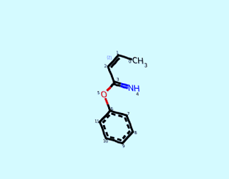 C/C=C\C(=N)Oc1ccccc1